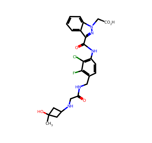 CC1(O)CC(NCC(=O)NCc2ccc(NC(=O)c3nn(CC(=O)O)c4ccccc34)c(Cl)c2F)C1